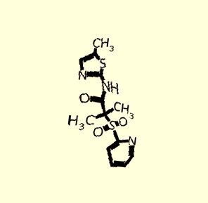 Cc1cnc(NC(=O)C(C)(C)S(=O)(=O)c2ccccn2)s1